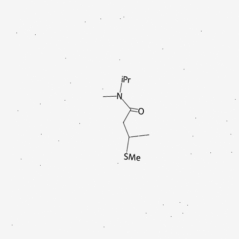 CSC(C)CC(=O)N(C)C(C)C